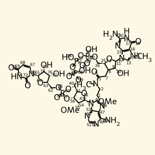 COCCN(C)C(=O)CC1[C@@H](O)C(n2c[n+](C)c3c(=O)[nH]c(N)nc32)O[C@@H]1COP(=O)(O)OP(=O)(O)OP(=O)(O)OC[C@H]1O[C@@H](n2cnc3c(N)ncnc32)[C@H](OC)[C@@H]1OP(=O)([O-])OC[C@H]1O[C@@H](n2ccc(=O)[nH]c2=O)[C@H](O)[C@@H]1O